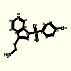 NCCc1cn(S(=O)(=O)c2ccc(Cl)cc2)c2cnccc12